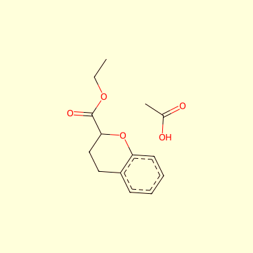 CC(=O)O.CCOC(=O)C1CCc2ccccc2O1